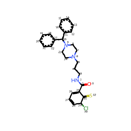 O=C(NCCCN1CCN(C(c2ccccc2)c2ccccc2)CC1)C1=CC=CC(Cl)C1=S